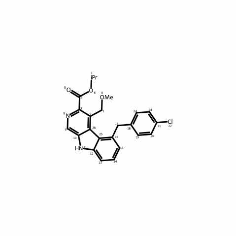 COCc1c(C(=O)OC(C)C)ncc2[nH]c3cccc(Cc4ccc(Cl)cc4)c3c12